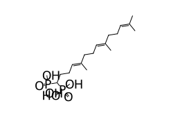 CC(C)=CCC/C(C)=C/CC/C(C)=C/CCC(P(=O)(O)O)P(=O)(O)O